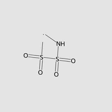 [CH2]NS(=O)(=O)S(C)(=O)=O